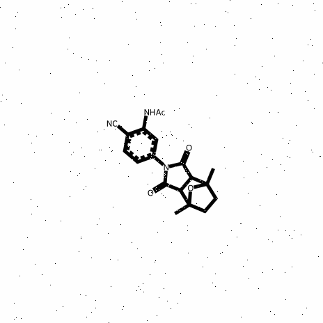 CC(=O)Nc1cc(N2C(=O)C3C(C2=O)C2(C)CCC3(C)O2)ccc1C#N